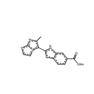 COC(=O)c1ccc2nc(-c3c(C)nc4sccn34)[nH]c2c1